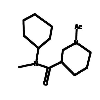 CC(=O)N1CCCC(C(=O)N(C)C2CCCCC2)C1